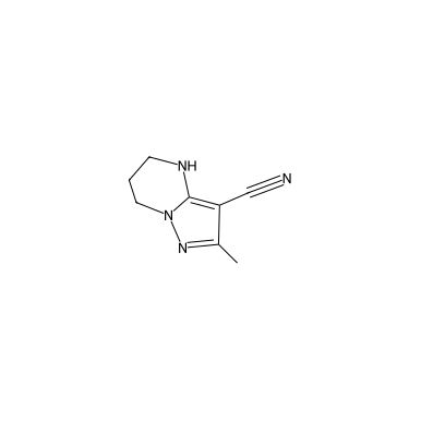 Cc1nn2c(c1C#N)NCCC2